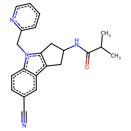 CC(C)C(=O)NC1Cc2c(n(Cc3ccccn3)c3ccc(C#N)cc23)C1